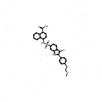 COCCc1ccc(-c2[nH]c3cc(S(=O)(=O)Nc4ccc(C(=O)O)c5ccccc45)ccc3c2Cl)cc1